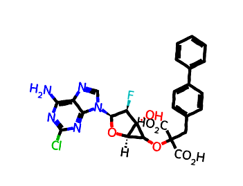 Nc1nc(Cl)nc2c1ncn2[C@@H]1O[C@@H]2C(OC(Cc3ccc(-c4ccccc4)cc3)(C(=O)O)C(=O)O)[C@]2(O)[C@@H]1F